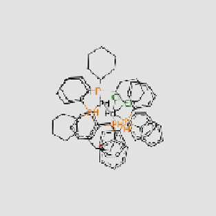 [Cl][Pd]([Cl])([Pd]([PH](C1CCCCC1)(C1CCCCC1)C1CCCCC1)[PH](C1CCCCC1)(C1CCCCC1)C1CCCCC1)([PH](c1ccccc1)(c1ccccc1)c1ccccc1)[PH](c1ccccc1)(c1ccccc1)c1ccccc1